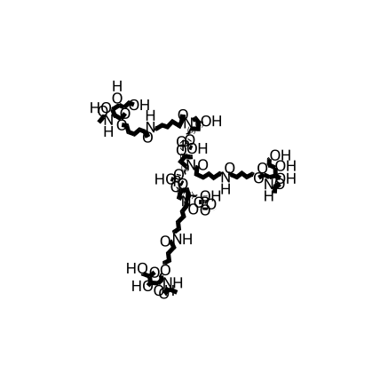 COP(=O)(O)OC[C@@H]1C[C@@H](OP(=O)(O)OC[C@@H]2C[C@@H](OP(=O)(O)OC[C@@H]3C[C@@H](O)CN3C(=O)CCCCCNC(=O)CCCCOC3OC(CO)C(O)C(O)C3NC(C)=O)CN2C(=O)CCCCCNC(=O)CCCCOC2OC(CO)C(O)C(O)C2NC(C)=O)CN1C(=O)CCCCCNC(=O)CCCCOC1OC(CO)C(O)C(O)C1NC(C)=O